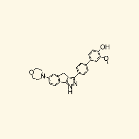 COc1cc(-c2ccc(-c3n[nH]c4c3Cc3cc(N5CCOCC5)ccc3-4)cc2)ccc1O